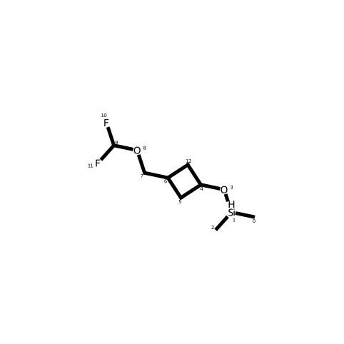 C[SiH](C)OC1CC(COC(F)F)C1